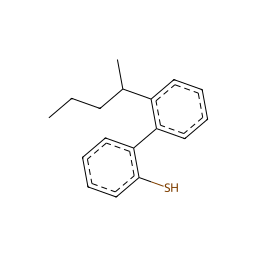 CCCC(C)c1ccccc1-c1ccccc1S